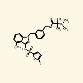 COc1cccc2c1c(NS(=O)(=O)c1ccc(Cl)s1)nn2Cc1cccc(CNC(=O)C(C)(C)N(C)C)c1